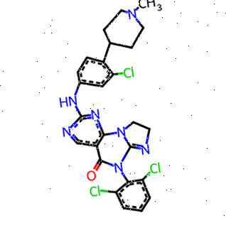 CN1CCC(c2ccc(Nc3ncc4c(n3)N3CCN=C3N(c3c(Cl)cccc3Cl)C4=O)cc2Cl)CC1